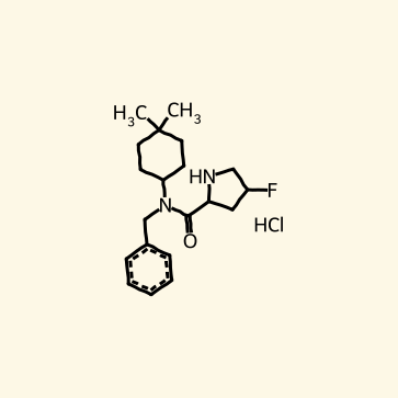 CC1(C)CCC(N(Cc2ccccc2)C(=O)C2CC(F)CN2)CC1.Cl